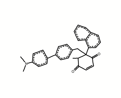 CC1C(=O)C=CC(=O)C1(Cc1ccc(-c2ccc(N(C)C)cc2)cc1)c1cccc2ccccc12